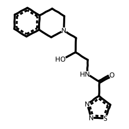 O=C(NCC(O)CN1CCc2ccccc2C1)c1csnn1